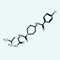 CC(C)C[C@H](NC(=O)N1CCC(NC(=O)c2ccc(Cl)cc2)CC1)C(=O)O